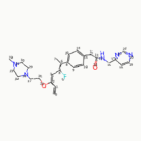 C=C/C(=C\C(F)=C(/C)c1ccc(CC(=O)NCc2ccncn2)cc1)OCCN1CCN(C)CC1